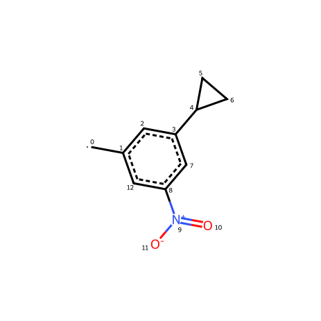 [CH2]c1cc(C2CC2)cc([N+](=O)[O-])c1